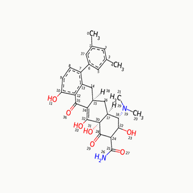 Cc1cc(C)cc(-c2ccc(O)c3c2C[C@H]2C[C@H]4[C@H](N(C)C)C(O)C(C(N)=O)C(=O)[C@@]4(O)C(O)=C2C3=O)c1